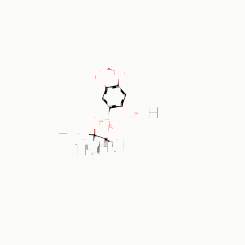 COc1cc2c(cc1B1OC(C)(C)C(C)(C)O1)OCO2